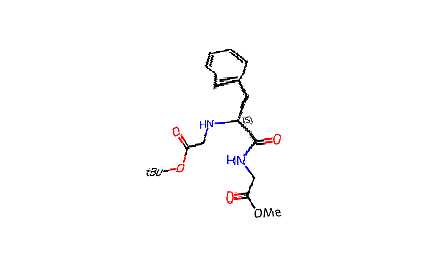 COC(=O)CNC(=O)[C@H](Cc1ccccc1)NCC(=O)OC(C)(C)C